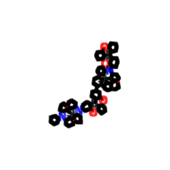 C1=CC([Si]2(c3cccc4ccccc34)c3ccccc3N(c3cccc4c3Oc3cccc5c3B4c3ccccc3O5)c3ccccc32)CC(c2ccc3c(c2)Oc2cccc4c2B3c2ccc(N3c5ccccc5[Si]5(c6ccccc6N(c6ccccc6)c6ccccc65)c5ccccc53)cc2O4)=C1